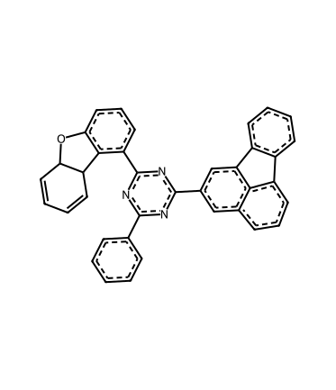 C1=CC2Oc3cccc(-c4nc(-c5ccccc5)nc(-c5cc6c7c(cccc7c5)-c5ccccc5-6)n4)c3C2C=C1